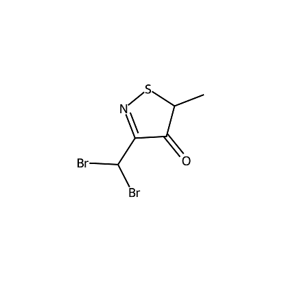 CC1SN=C(C(Br)Br)C1=O